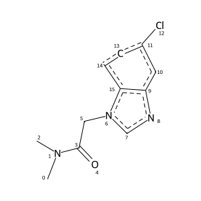 CN(C)C(=O)Cn1cnc2cc(Cl)ccc21